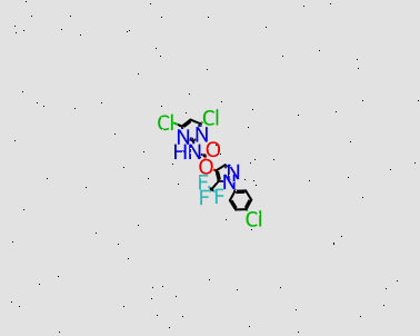 O=C(Nc1nc(Cl)cc(Cl)n1)Oc1cnn(-c2ccc(Cl)cc2)c1C(F)(F)F